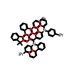 CC(C)c1ccc(N(c2ccc3c(N(c4ccc(C(C)C)cc4)c4ccccc4-c4ccccc4)c4cc5c(cc4c(N(c4ccc(C(C)C)cc4)c4ccccc4-c4ccccc4)c3c2)-c2ccccc2C5(C)C)c2ccccc2-c2ccccc2)cc1